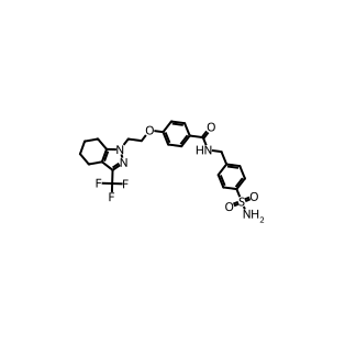 NS(=O)(=O)c1ccc(CNC(=O)c2ccc(OCCn3nc(C(F)(F)F)c4c3CCCC4)cc2)cc1